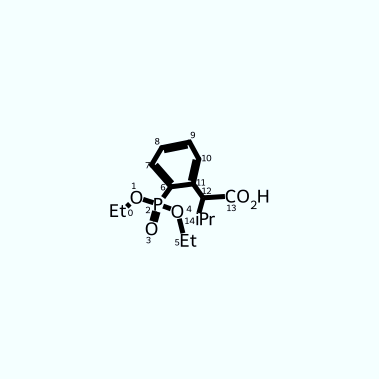 CCOP(=O)(OCC)c1ccccc1C(C(=O)O)C(C)C